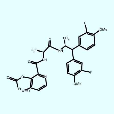 COc1ccc(C(c2ccc(OC)c(F)c2)[C@H](C)NC(=O)[C@H](C)NC(=O)c2nccc(OC)c2OC(=O)C(C)C)cc1F